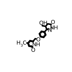 Cc1cc(COc2ccc(C3=NNC(=O)CC3CO)cc2)[nH]c(=O)c1